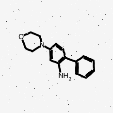 Nc1cc(N2CCOCC2)ccc1-c1ccccc1